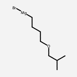 CC(C)COCCC[CH2][Mg][Br]